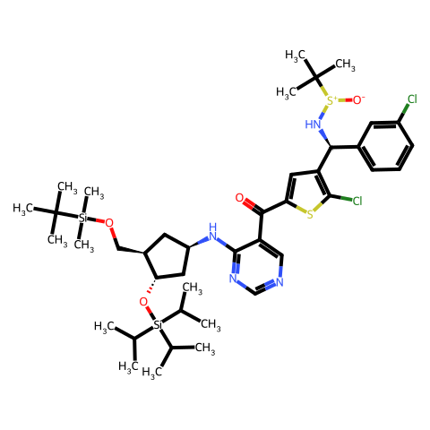 CC(C)[Si](O[C@H]1C[C@H](Nc2ncncc2C(=O)c2cc([C@@H](N[S+]([O-])C(C)(C)C)c3cccc(Cl)c3)c(Cl)s2)C[C@@H]1CO[Si](C)(C)C(C)(C)C)(C(C)C)C(C)C